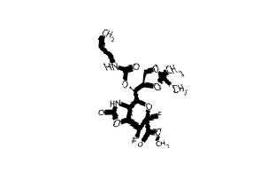 C=CCNC(=O)O[C@@H](C1OC(F)(C(=O)OC)C(F)C2OC(=O)NC21)[C@H]1COC(C)(C)O1